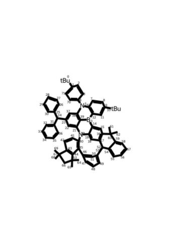 CC(C)(C)c1ccc(N2c3ccc(C(C)(C)C)cc3B3c4cc5c6cc4N(c4cc(C(c7ccccc7)c7ccccc7)cc2c43)c2ccc3c(c2-c2cccc(c2)C6(C)c2ccccc2C5(C)C)C(C)(C)CC3(C)C)cc1